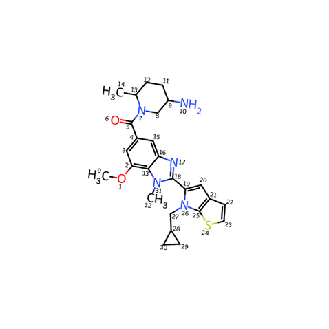 COc1cc(C(=O)N2CC(N)CCC2C)cc2nc(-c3cc4ccsc4n3CC3CC3)n(C)c12